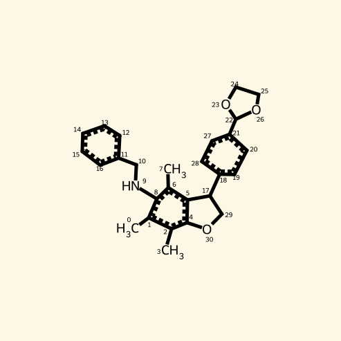 Cc1c(C)c2c(c(C)c1NCc1ccccc1)C(c1ccc(C3OCCO3)cc1)CO2